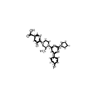 CC1CN(c2ncc(C(=O)O)cc2Cl)CCN1c1cc(-c2ccc(F)cc2)nc(N2CCCC2)n1